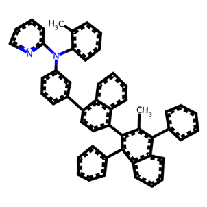 Cc1ccccc1N(c1cccc(-c2ccc(-c3c(C)c(-c4ccccc4)c4ccccc4c3-c3ccccc3)c3ccccc23)c1)c1ccccn1